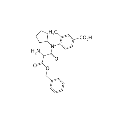 Cc1cc(C(=O)O)ccc1N(C(=O)C(N)C(=O)OCc1ccccc1)C1CCCC1